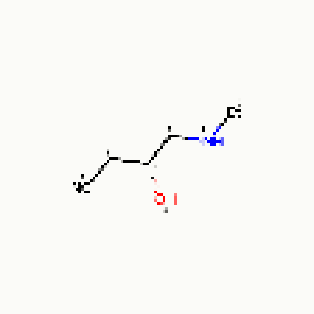 CCNC[C@H](O)CC#N